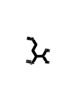 CSCCC(C(=O)O)N(O)C(C)=O